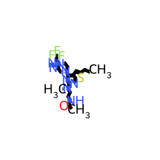 CCCc1cc2c(N3CCn4c(nnc4C(F)(F)F)C3)nc(N(C)CCNC(C)=O)nc2s1